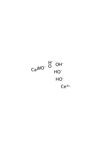 [Ca+2].[Ce+3].[OH-].[OH-].[OH-].[OH-].[OH-]